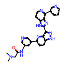 CN(C)CC(=O)Nc1cncc(-c2ccc3[nH]nc(-c4nc5c(-c6cccnc6)nccc5[nH]4)c3n2)c1